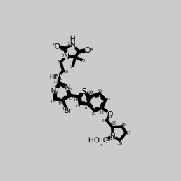 CC1(C)C(=O)NC(=O)N1CCNc1ncc(Br)c(-c2cc3cc(OCC4CCCN4C(=O)O)ccc3s2)n1